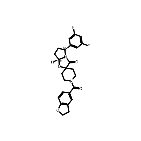 O=C(c1ccc2c(c1)CCO2)N1CCC2(CC1)O[C@@H]1CC[C@@H](c3cc(F)cc(F)c3)N1C2=O